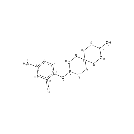 Nc1ccn(OP2OCC3(COP(O)OC3)CO2)c(=O)n1